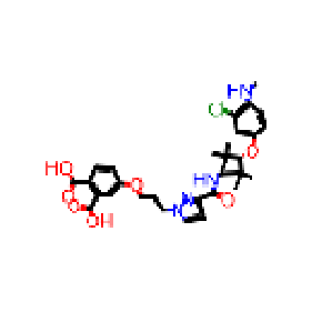 CNc1ccc(O[C@H]2C(C)(C)[C@H](NC(=O)c3ccn(CCCOc4ccc(C(=O)O)c(C(=O)O)c4)n3)C2(C)C)cc1Cl